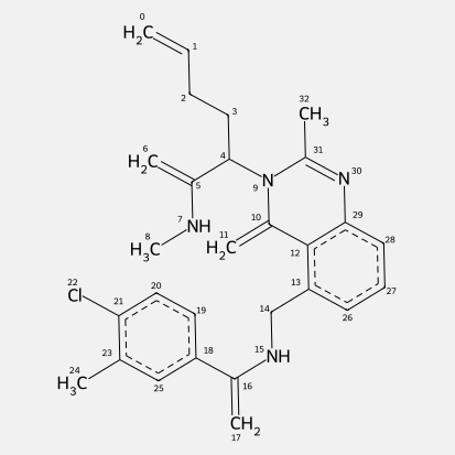 C=CCCC(C(=C)NC)N1C(=C)c2c(CNC(=C)c3ccc(Cl)c(C)c3)cccc2N=C1C